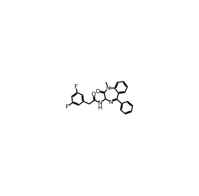 CN1C(=O)C(NC(=O)Cc2cc(F)cc(F)c2)N=C(c2ccccc2)c2ccccc21